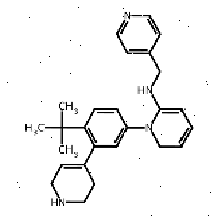 CC(C)(C)c1ccc(N2CC=C[C]=C2NCc2ccncc2)cc1C1=CCNCC1